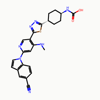 CNc1cc(-n2ccc3cc(C#N)ccc32)ncc1-c1nnc([C@H]2CC[C@H](NC(=O)O)CC2)s1